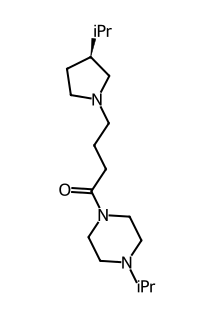 CC(C)[C@@H]1CCN(CCCC(=O)N2CCN(C(C)C)CC2)C1